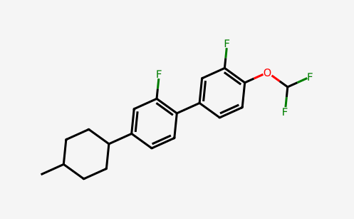 CC1CCC(c2ccc(-c3ccc(OC(F)F)c(F)c3)c(F)c2)CC1